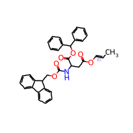 C/C=C/OC(=O)CC(NC(=O)OCC1c2ccccc2-c2ccccc21)C(=O)OC(c1ccccc1)c1ccccc1